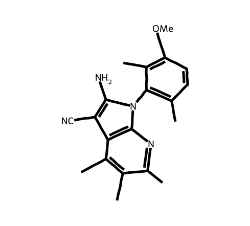 COc1ccc(C)c(-n2c(N)c(C#N)c3c(C)c(C)c(C)nc32)c1C